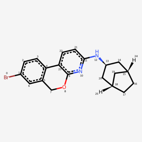 Brc1ccc2c(c1)COc1nc(N[C@H]3C[C@@H]4CC[C@@H](C4)C3)ccc1-2